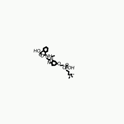 CCn1c(CNC(=O)c2ccccc2C(=O)O)nc2ccc(OCCOP(=O)(O)CCC[N+](C)(C)C)cc21